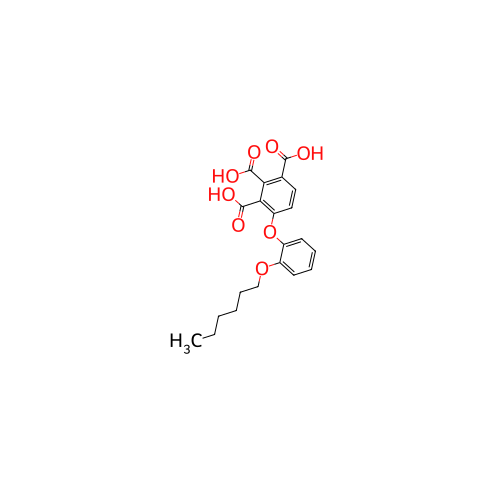 CCCCCCOc1ccccc1Oc1ccc(C(=O)O)c(C(=O)O)c1C(=O)O